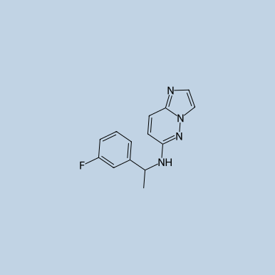 CC(Nc1ccc2nccn2n1)c1cccc(F)c1